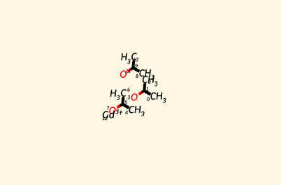 CC(C)[O-].CC(C)[O-].CC(C)[O-].[Gd+3]